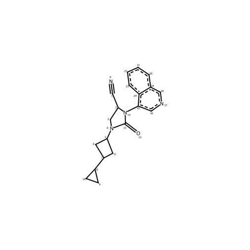 N#CC1CN(C2CC(C3CC3)C2)C(=O)N1c1cncc2ccccc12